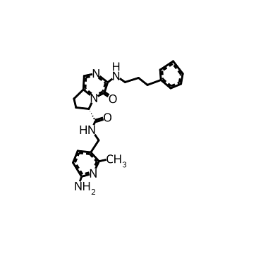 Cc1nc(N)ccc1CNC(=O)[C@@H]1CCc2cnc(NCCCc3ccccc3)c(=O)n21